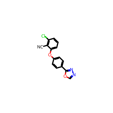 N#Cc1c(Cl)cccc1Oc1ccc(-c2nnco2)cc1